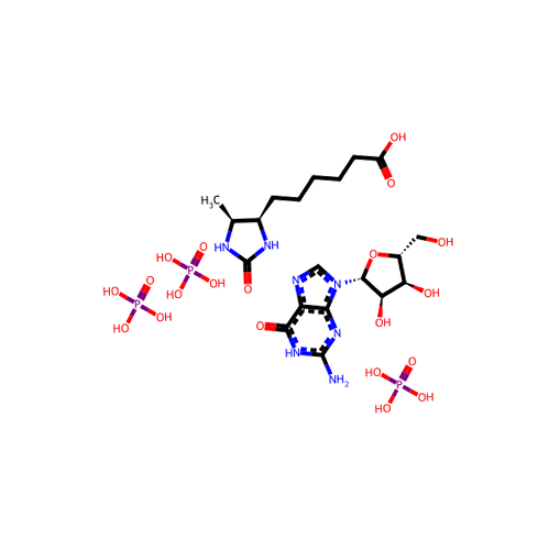 C[C@@H]1NC(=O)N[C@@H]1CCCCCC(=O)O.Nc1nc2c(ncn2[C@@H]2O[C@H](CO)[C@@H](O)[C@H]2O)c(=O)[nH]1.O=P(O)(O)O.O=P(O)(O)O.O=P(O)(O)O